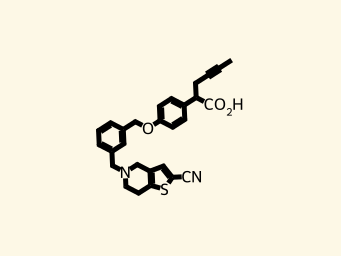 CC#CCC(C(=O)O)c1ccc(OCc2cccc(CN3CCc4sc(C#N)cc4C3)c2)cc1